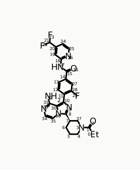 CCC(=O)N1CCC[C@@H](c2nc(-c3ccc(C(=O)Nc4cc(C(F)F)ccn4)cc3F)c3c(N)nccn23)C1